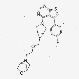 Fc1ccc(-c2csc3ncnc(N4CC5C(COCCN6CC7CC6CO7)C5C4)c23)cc1